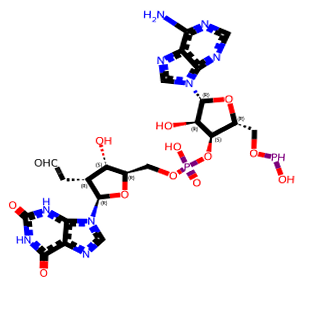 Nc1ncnc2c1ncn2[C@@H]1O[C@H](COPO)[C@@H](OP(=O)(O)OC[C@H]2O[C@@H](n3cnc4c(=O)[nH]c(=O)[nH]c43)[C@H](CC=O)[C@@H]2O)[C@H]1O